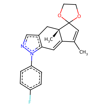 CC1=CC2(OCCO2)[C@@]2(C)Cc3cnn(-c4ccc(F)cc4)c3C=C12